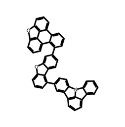 c1cc(-c2ccc3c(c2)c2cccc4c5ccccc5n3c42)c2c(c1)oc1cc(-c3cccc4c5cccc6oc7cccc(c34)c7c65)ccc12